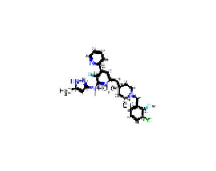 Cc1cc(Nc2nc(C[C@@]3(C(=O)O)CCN(Cc4cccc(Cl)c4F)[C@H](C)C3)cc(-c3ccccn3)c2F)n[nH]1